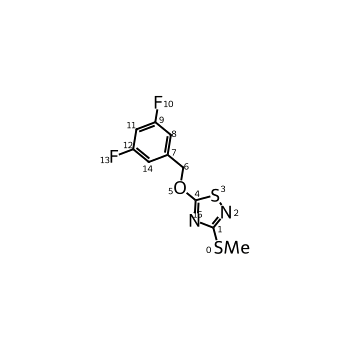 CSc1nsc(OCc2cc(F)cc(F)c2)n1